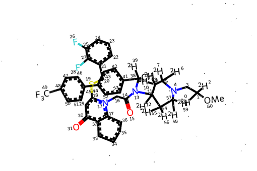 [2H]C([2H])(CN1C([2H])([2H])C([2H])([2H])C([2H])(N(C(=O)Cn2c(SCc3cccc(F)c3F)cc(=O)c3ccccc32)C([2H])(C)c2ccc(-c3ccc(C(F)(F)F)cc3)cc2)C([2H])([2H])C1([2H])[2H])OC